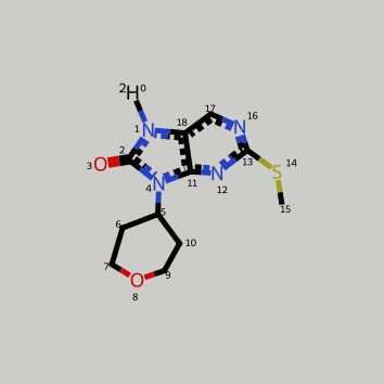 [2H]n1c(=O)n(C2CCOCC2)c2nc(SC)ncc21